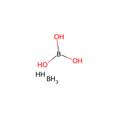 B.OB(O)O.[HH]